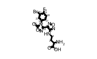 NC(CCNc1nonc1-c1noc(=O)n1-c1ccc(F)c(Br)c1)C(=O)O